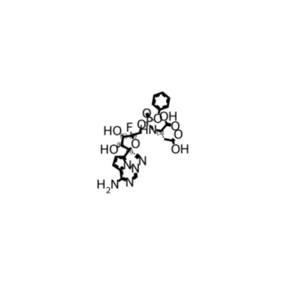 N#C[C@@]1(c2ccc3c(N)ncnn23)O[C@](F)(COP(=O)(N[C@@H](CC(=O)O)C(=O)O)Oc2ccccc2)[C@@H](O)[C@H]1O